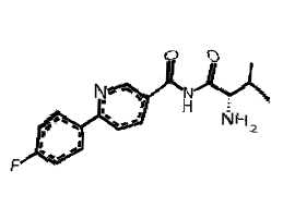 CC(C)[C@H](N)C(=O)NC(=O)c1ccc(-c2ccc(F)cc2)nc1